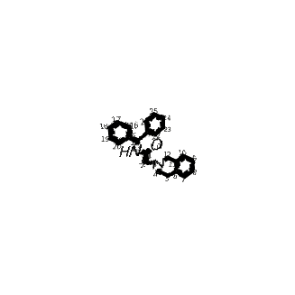 O=C(CN1CCc2ccccc2C1)NC(c1ccccc1)c1ccccc1